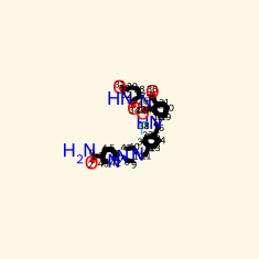 NC(=O)c1ccc(N2CCN(Cc3ccc(CNc4cccc5c4C(=O)N([C@H]4CCC(=O)NC4=O)C5=O)c(F)c3)CC2)nc1